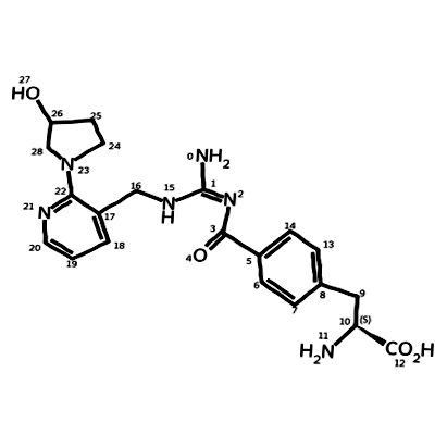 NC(=NC(=O)c1ccc(C[C@H](N)C(=O)O)cc1)NCc1cccnc1N1CCC(O)C1